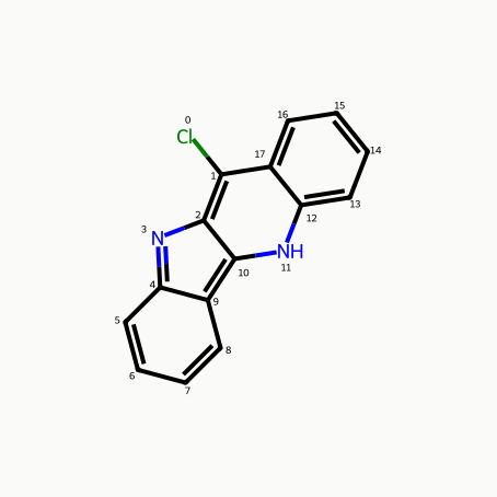 Clc1c2nc3ccccc3c-2[nH]c2ccccc12